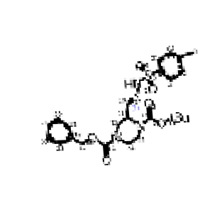 Cc1ccc(S(=O)(=O)N/N=C/C2CN(C(=O)OCc3ccccc3)CCN2C(=O)OC(C)(C)C)cc1